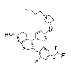 Oc1ccc2c(c1)SCC(c1ccc(OC(F)F)cc1F)=C2c1ccc(O[C@H]2CCN(CCCF)C2)cc1